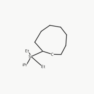 CC[Si](CC)([C]1CCCCCCCC1)C(C)C